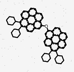 c1cc2ccc3c(C4CCCCC4)c(C4CCCCC4)c4ccc5cc(Oc6cc7ccc8c(C9CCCCC9)c(C9CCCCC9)c9ccc%10ccc%11ccc6c6c%11c%10c9c8c76)c6ccc1c1c2c3c4c5c61